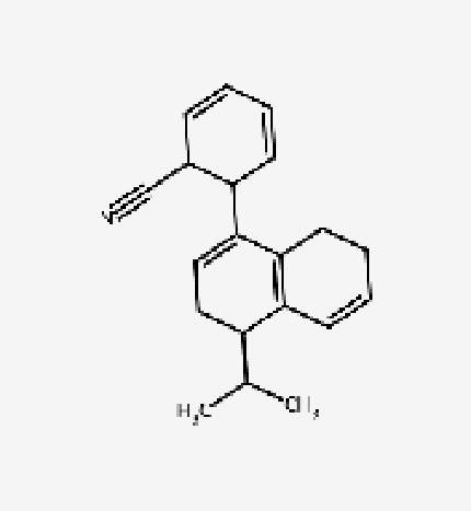 CC(C)C1CC=C(C2C=CC=CC2C#N)C2=C1C=CCC2